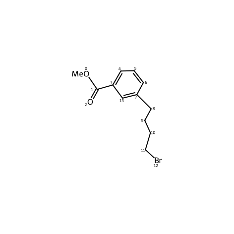 COC(=O)c1cccc(CCCCBr)c1